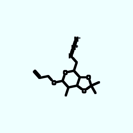 C=CCOC1OC(CN=[N+]=[N-])C2OC(C)(C)OC2C1C